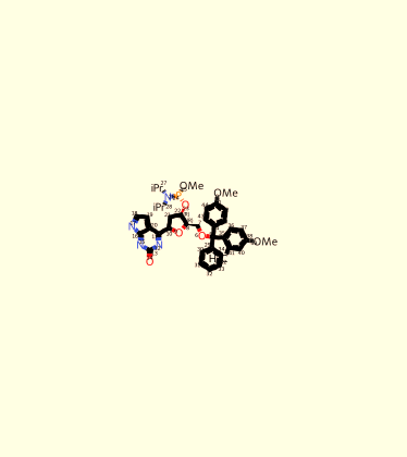 COc1ccc(C(OC[C@H]2OC(C3=NC(=O)N=C4N=CC=C43)C[C@H]2OP(OC)N(C(C)C)C(C)C)(c2ccccc2)c2ccc(OC)cc2C)cc1